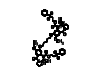 COc1cc2c(cc1OCCCCCOc1cc3c(cc1OC)C(=O)N1CCC[C@H]1[C@H](O)N3C(=O)OCCS(=O)(=O)c1ccccc1)N(C(=O)OCCS(=O)(=O)c1ccccc1)[C@@H](O)[C@@H]1CCCN1C2=O